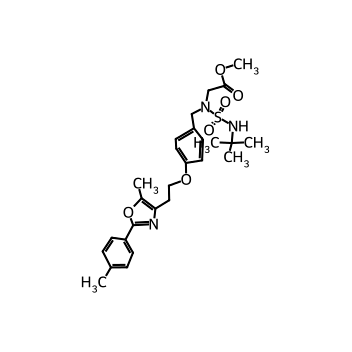 COC(=O)CN(Cc1ccc(OCCc2nc(-c3ccc(C)cc3)oc2C)cc1)S(=O)(=O)NC(C)(C)C